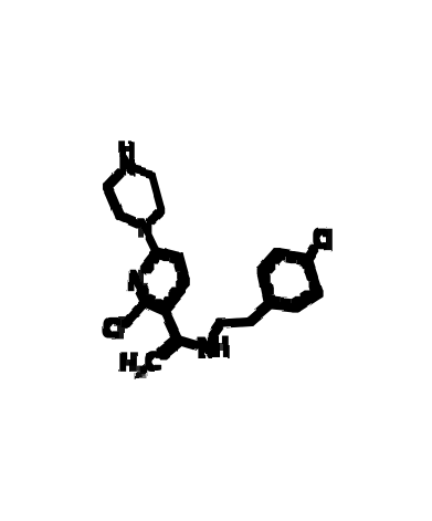 C=C(NCCc1ccc(Cl)cc1)c1ccc(N2CCNCC2)nc1Cl